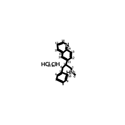 CNCC(Cc1ccccc1)c1ccc2ncccc2c1.Cl.Cl